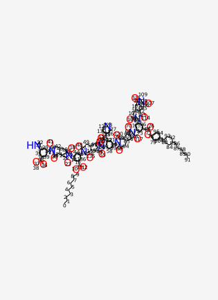 CCCCCCCCCCOC(=O)c1cc(N2C(=O)C3CC(C2=O)C2C(=O)N(c4cc(NC)cc(C(=O)OC)c4)C(=O)CC32)cc(N2C(=O)CC3C4CC(C(=O)N(c5ccc(N6C(=O)CC7C8CC(C(=O)N(c9cc(C(=O)Oc%10ccc(C%11CCC(CCCCCC)CC%11)cc%10)cc(N%10C(=O)CC%11C%12CC(C(=O)N(C)C%12=O)C%11C%10=O)c9)C8=O)C7C6=O)cc5C(=O)c5ccncc5)C4=O)C3C2=O)c1